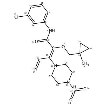 CC1(CO/C(C(=O)Nc2cccc(Cl)c2)=C(/C=N)N2CCN([SH](=O)=O)CC2)CC1